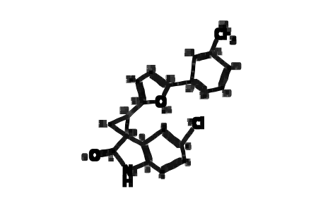 O=C1Nc2ccc(Cl)cc2C12CC2c1ccc(-c2cccc(C(F)(F)F)c2)o1